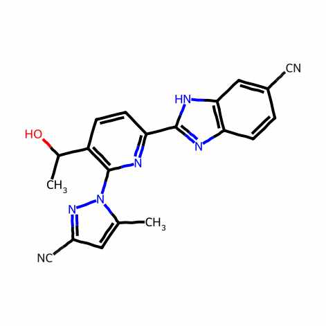 Cc1cc(C#N)nn1-c1nc(-c2nc3ccc(C#N)cc3[nH]2)ccc1C(C)O